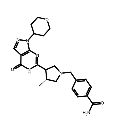 C[C@H]1CN(Cc2ccc(C(N)=O)cc2)CC1c1nc2c(cnn2C2CCOCC2)c(=O)[nH]1